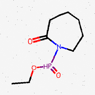 CCO[PH](=O)N1CCCCCC1=O